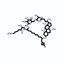 CCCCCCCCCCCCCC[C@@H](O)[C@@H](O)[C@H](COC1OC(COC(=O)C(NC(=O)CC[C@@H](C)C2CCC3C4C(CC[C@@]32C)[C@@]2(C)CC[C@@H](O)CC2C[C@H]4O)C(C)C)C(O)C(O)C1O)NC(=O)CCCCCCCCCCC12CC(F)(C1)C2